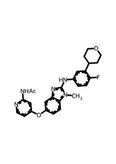 CC(=O)Nc1cc(Oc2ccc3c(c2)nc(Nc2ccc(F)c(C4CCOCC4)c2)n3C)ccn1